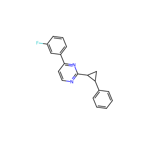 Fc1cccc(-c2ccnc(C3CC3c3ccccc3)n2)c1